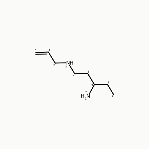 C=CCNCCC(N)CC